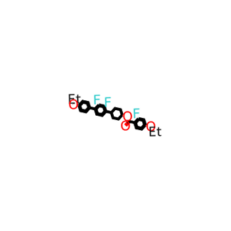 CCOc1ccc(-c2ccc(C3CCC(OC(=O)c4ccc(OCC)cc4F)CC3)c(F)c2F)cc1